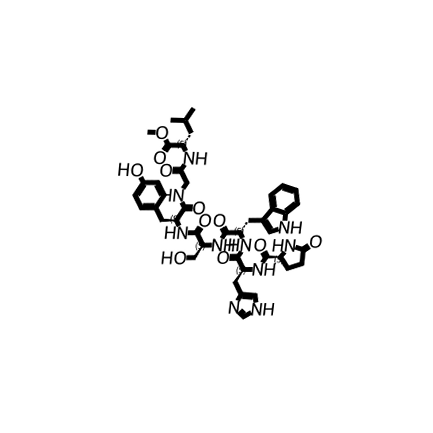 COC(=O)[C@H](CC(C)C)NC(=O)CNC(=O)[C@H](Cc1ccc(O)cc1)NC(=O)[C@H](CO)NC(=O)[C@H](Cc1c[nH]c2ccccc12)NC(=O)[C@H](Cc1c[nH]cn1)NC(=O)[C@@H]1CCC(=O)N1